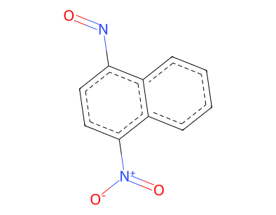 O=Nc1ccc([N+](=O)[O-])c2ccccc12